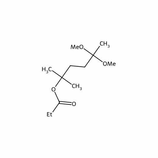 CCC(=O)OC(C)(C)CCC(C)(OC)OC